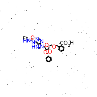 CCNC(=O)Nc1ncnc2c1ncn2C1OC(COCc2ccccc2C(=O)O)C2O[C@H](c3ccccc3)OC21